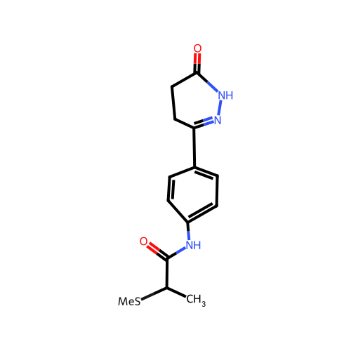 CSC(C)C(=O)Nc1ccc(C2=NNC(=O)CC2)cc1